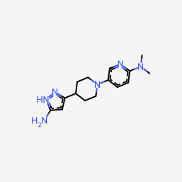 CN(C)c1ccc(N2CCC(c3cc(N)[nH]n3)CC2)cn1